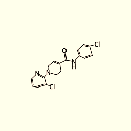 O=C(Nc1ccc(Cl)cc1)C1=CCN(c2ncccc2Cl)CC1